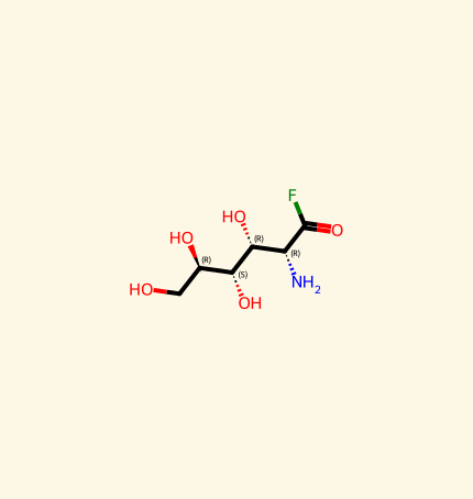 N[C@@H](C(=O)F)[C@@H](O)[C@H](O)[C@H](O)CO